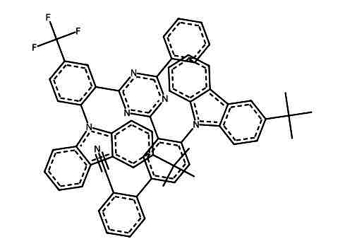 CC(C)(C)c1ccc2c(c1)c1ccccc1n2-c1ccc(-c2ccccc2C#N)cc1-c1nc(-c2ccccc2)nc(-c2cc(C(F)(F)F)ccc2-n2c3ccccc3c3cc(C(C)(C)C)ccc32)n1